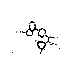 CC(C)NC(C(C=O)c1cc(F)cc(F)c1)N1CCN(c2ncnc3c2[C@H](C)C[C@H]3O)CC1